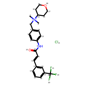 C[N+](C)(Cc1ccc(NC(=O)C=Cc2cccc(C(F)(F)F)c2)cc1)C1CCOCC1.[Cl-]